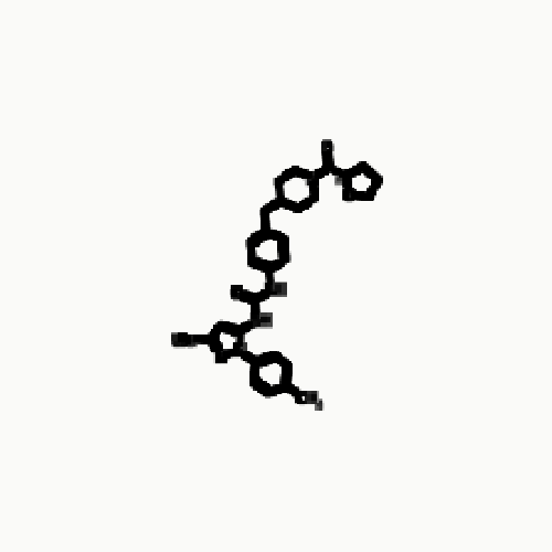 Cc1ccc(-n2nc(C(C)(C)C)cc2NC(=O)Nc2ccc(CC3CCN(C(=O)[C@H]4CCCO4)CC3)cc2)cc1